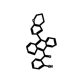 O=C(c1ccccc1O)c1c2ccccc2c(-c2ccc3c(c2)CCCO3)c2ccccc12